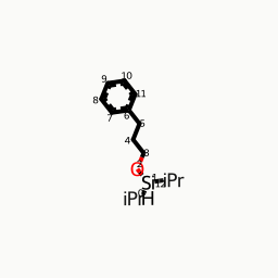 CC(C)[SiH](OCCCc1ccccc1)C(C)C